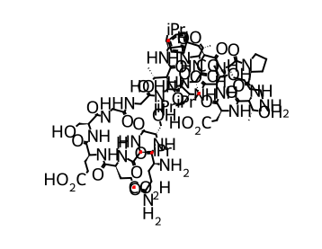 CC(C)C[C@H](NC(=O)CNC(=O)CNC(=O)CNC(=O)[C@H](CO)NC(=O)[C@H](CCC(=O)O)NC(=O)[C@H](CCC(=O)O)NC(=O)[C@H](CC(C)C)NC(=O)[C@H](CO)NC(=O)[C@@H](N)CCC(N)=O)C(=O)N[C@@H](Cc1ccccc1)C(=O)N[C@@H](CCCCN)C(=O)N1CCC[C@H]1C(=O)N[C@H](C(=O)N[C@@H](CC(=O)O)C(=O)N[C@H](C(=O)N[C@@H](CC(C)C)C(=O)N[C@H](C(=O)N[C@@H](CC(C)C)C(=O)N[C@H](C(=O)O)[C@@H](C)O)[C@@H](C)O)[C@@H](C)O)[C@@H](C)O